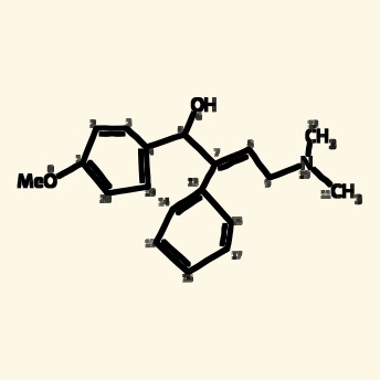 COc1ccc(C(O)C(=CCN(C)C)c2ccccc2)cc1